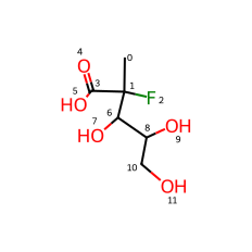 CC(F)(C(=O)O)C(O)C(O)CO